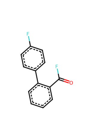 O=C(F)c1ccccc1-c1ccc(F)cc1